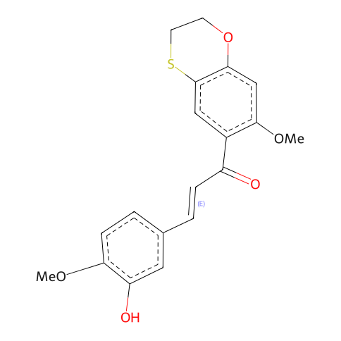 COc1ccc(/C=C/C(=O)c2cc3c(cc2OC)OCCS3)cc1O